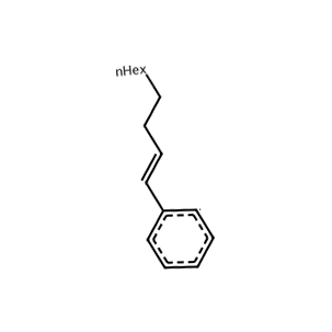 CCCCCCCC/C=C/c1[c]cccc1